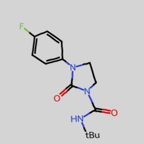 CC(C)(C)NC(=O)N1CCN(c2ccc(F)cc2)C1=O